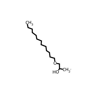 [CH2]C(O)COCCCCCCCCCCCCC